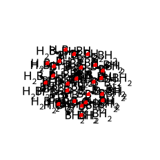 BBB(B(B)B)B(B(B(B)B)B(B)B)B(B(B(B)B)B(B)B)B(B(B(B(B)B)B(B)B)B(B(B)B)B(B)B)P(=S)(I)B(B(B(B(B(B)B)B(B)B)B(B(B)B)B(B)B)B(B(B(B)B)B(B)B)B(B(B)B)B(B)B)B(B(B(B(B)B)B(B)B)B(B(B)B)B(B)B)B(B(B(B)B)B(B)B)B(B(B)B)B(B)B